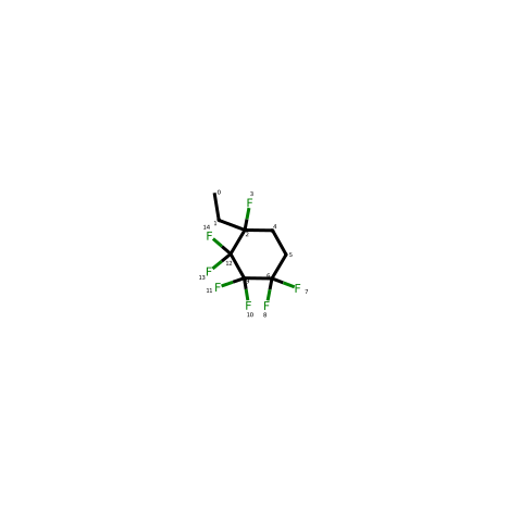 CCC1(F)CCC(F)(F)C(F)(F)C1(F)F